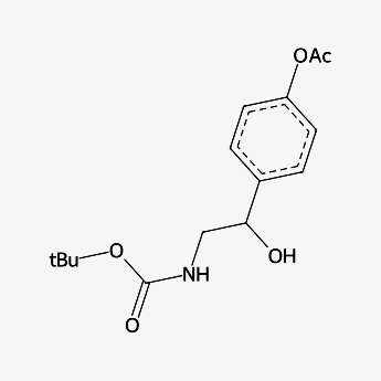 CC(=O)Oc1ccc(C(O)CNC(=O)OC(C)(C)C)cc1